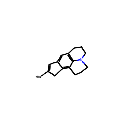 CC(C)(C)C1=Cc2cc3c4c(c2C1)CCCN4CCC3